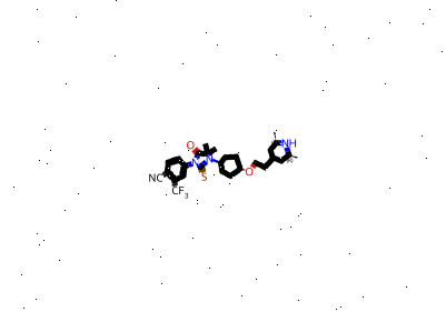 C[C@@H]1CC(CCO[C@H]2CC[C@H](N3C(=S)N(c4ccc(C#N)c(C(F)(F)F)c4)C(=O)C3(C)C)CC2)C[C@H](C)N1